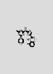 Cc1nc(Nc2ncc(C(=O)Nc3c(C)cccc3Cl)o2)nc(N2CCOCC2)n1